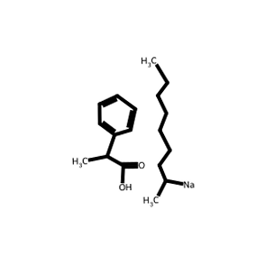 CC(C(=O)O)c1ccccc1.CCCCCCC[CH](C)[Na]